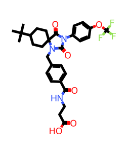 CC(C)(C)C1CCC2(CC1)C(=O)N(c1ccc(OC(F)(F)F)cc1)C(=O)N2Cc1ccc(C(=O)NCCC(=O)O)cc1